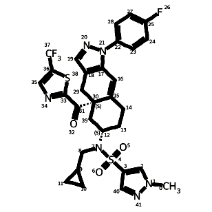 Cn1cc(S(=O)(=O)N(CC2CC2)[C@H]2CCC3=Cc4c(cnn4-c4ccc(F)cc4)C[C@]3(C(=O)c3ncc(C(F)(F)F)s3)C2)cn1